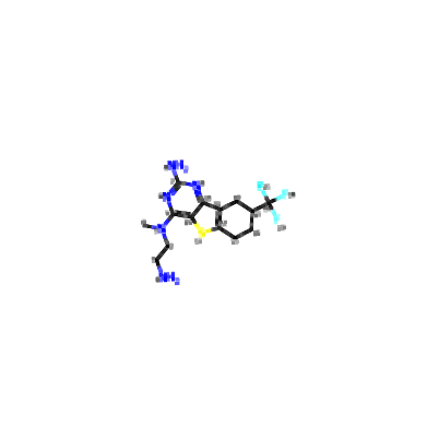 CN(CCN)c1nc(N)nc2c3c(sc12)CCC(C(F)(F)F)C3